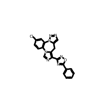 Clc1ccc2c(c1)-n1nncc1Cc1c(-c3noc(-c4ccccc4)n3)ncn1-2